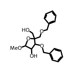 COC1OC(CO)(COCc2ccccc2)C(OCc2ccccc2)C1O